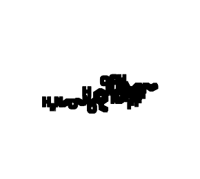 C=CCn1cc(-c2cnc3c(Nc4ccc(C(=O)NCCOCCN)c(CC)c4)nccn23)c(C(F)(F)F)n1.O=CO